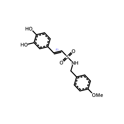 COc1ccc(CNS(=O)(=O)/C=C/c2ccc(O)c(O)c2)cc1